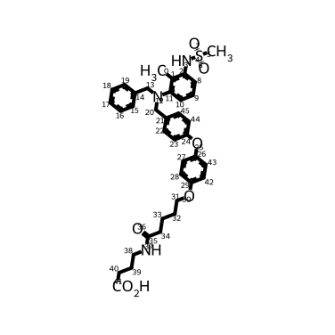 Cc1c(NS(C)(=O)=O)cccc1N(Cc1ccccc1)Cc1ccc(Oc2ccc(OCCCCC(=O)NCCCC(=O)O)cc2)cc1